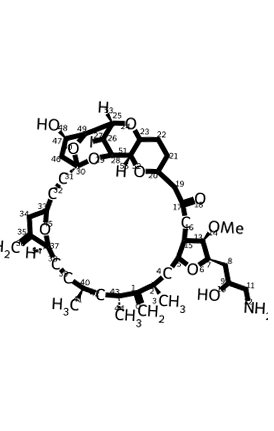 C=C1[C@H](C)CC2O[C@H](CC(O)CN)[C@H](OC)C2CC(=O)CC2CCC3O[C@@H]4C(I)C(O[C@@]5(CCC6CC(=C)[C@H](CC[C@H](C)C[C@H]1C)O6)C[C@@H](O)C4O5)[C@H]3O2